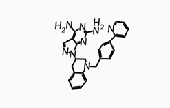 Nc1nc(N)c2cnn(C3Cc4ccccc4N(Cc4ccc(-c5ccccn5)cc4)C3)c2n1